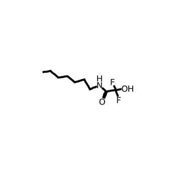 CCCCCCCNC(=O)C(O)(F)F